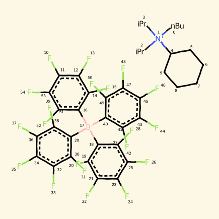 CCCC[N+](C(C)C)(C(C)C)C1CCCCC1.Fc1c(F)c(F)c([B-](c2c(F)c(F)c(F)c(F)c2F)(c2c(F)c(F)c(F)c(F)c2F)c2c(F)c(F)c(F)c(F)c2F)c(F)c1F